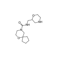 O=C(NCC1CNCCO1)N1CCOC2(CCCC2)C1